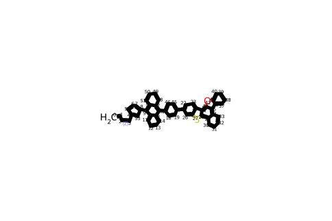 C=C/C=C\c1cccc(-c2c3ccccc3c(-c3ccc(-c4ccc5c(c4)sc4c6ccccc6c6c7ccccc7oc6c54)cc3)c3ccccc23)c1